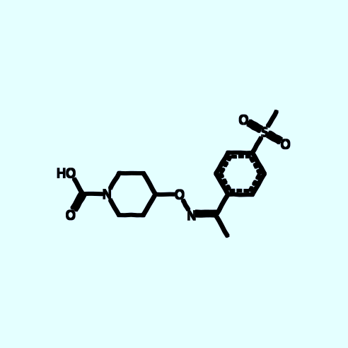 C/C(=N/OC1CCN(C(=O)O)CC1)c1ccc(S(C)(=O)=O)cc1